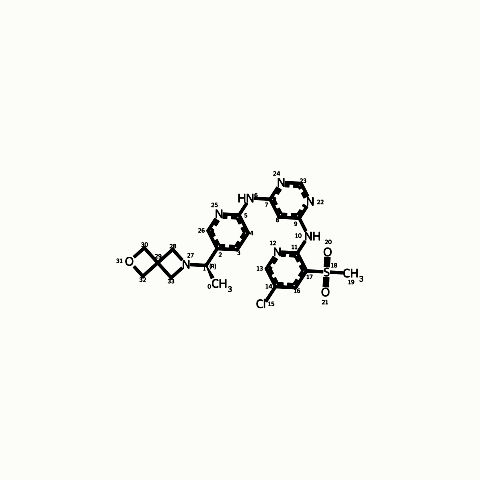 C[C@H](c1ccc(Nc2cc(Nc3ncc(Cl)cc3S(C)(=O)=O)ncn2)nc1)N1CC2(COC2)C1